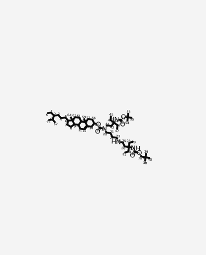 CCC(CCCC1CCC2C3CC=C4CC(OC(=O)N(CCCCNCCC(CC)(CC)NC(=O)OCC(C)(C)C)CCC(CC)(CC)NC(=O)OC(C)(C)C)CCC4(C)C3CCC12C)C(C)C